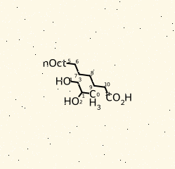 CC(O)CO.CCCCCCCCCCCCCC(=O)O